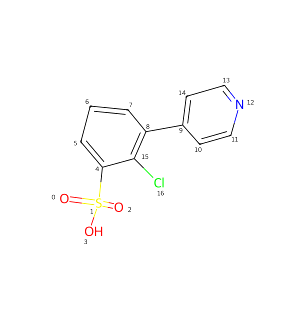 O=S(=O)(O)c1cccc(-c2ccncc2)c1Cl